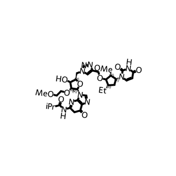 CC[C@H]1C[C@@H](n2ccc(=O)[nH]c2=O)[C@@H](OC)C1OCc1cn(C[C@H]2O[C@@H](n3cnc4c3N=C(NC(=O)C(C)C)CC4=O)[C@@H](OCCOC)C2O)nn1